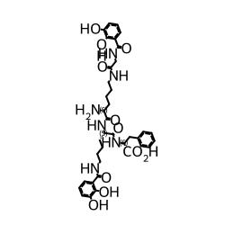 N[C@@H](CCCCNC(=O)CNC(=O)c1cccc(O)c1O)C(=O)N[C@@H](CCCCNC(=O)c1cccc(O)c1O)C(=O)N[C@@H](Cc1ccccc1)C(=O)O